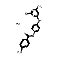 Cc1cc(Nc2ccc(NC(=O)c3ccc(N)cc3)cc2)nc(N)n1.Cl